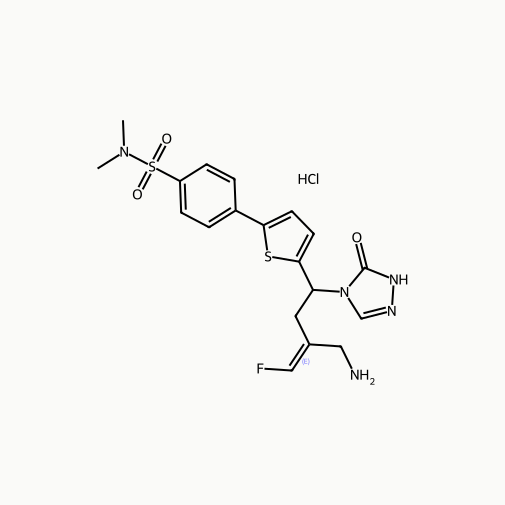 CN(C)S(=O)(=O)c1ccc(-c2ccc(C(C/C(=C\F)CN)n3cn[nH]c3=O)s2)cc1.Cl